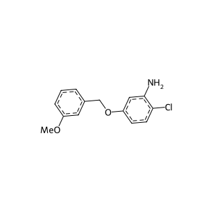 COc1cccc(COc2ccc(Cl)c(N)c2)c1